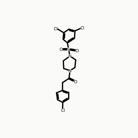 O=C(Cc1ccc(Cl)cc1)N1CCN(S(=O)(=O)c2cc(Cl)cc(Cl)c2)CC1